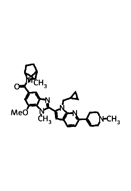 COc1cc(C(=O)N2CC3CCC2[C@@H]3C)cc2nc(-c3cc4ccc(C5=CCN(C)CC5)nc4n3CC3CC3)n(C)c12